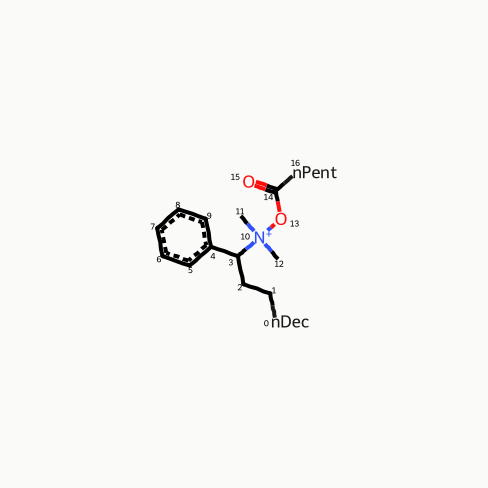 CCCCCCCCCCCCC(c1ccccc1)[N+](C)(C)OC(=O)CCCCC